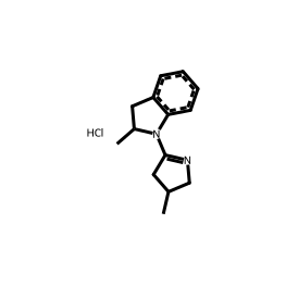 CC1CN=C(N2c3ccccc3CC2C)C1.Cl